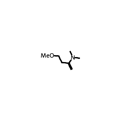 C=C(CCOC)N(C)C